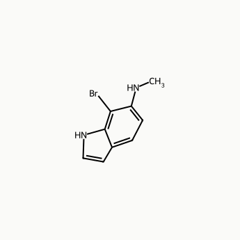 CNc1ccc2cc[nH]c2c1Br